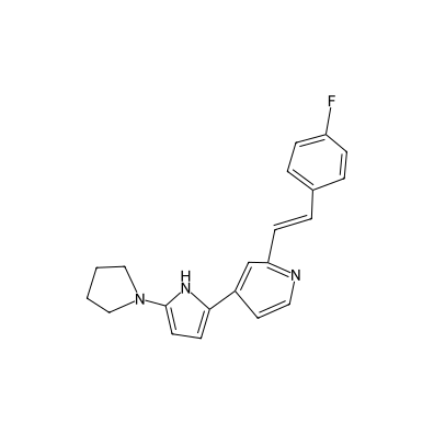 Fc1ccc(/C=C/c2cc(-c3ccc(N4CCCC4)[nH]3)ccn2)cc1